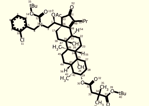 CC(=O)O[C@H](CN(Cc1ccccc1Cl)C(=O)OC(C)(C)C)[C@@]12CC[C@]3(C)[C@H](CC[C@@H]4[C@@]5(C)CC[C@H](OC(=O)CC(C)(C)C(=O)OC(C)(C)C)[C@H](C)[C@@H]5CC[C@]43C)C1=C(C(C)C)C(=O)C2